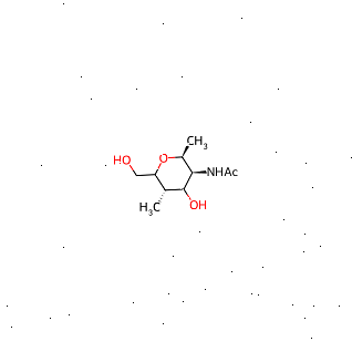 CC(=O)N[C@H]1C(O)[C@H](C)C(CO)O[C@H]1C